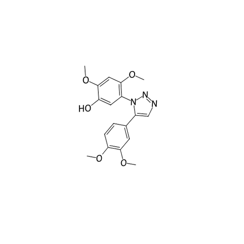 COc1cc(OC)c(-n2nncc2-c2ccc(OC)c(OC)c2)cc1O